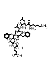 CC(C)C[C@H](NC(=O)[C@@H](N)CCCCN)C(=O)N[C@H](C(=O)N[C@@H](Cc1ccccc1)C(=O)N[C@@H](Cc1ccccc1)C(=O)N[C@@H](C)C(=O)N[C@@H](CCC(=O)O)C(=O)O)C(C)C